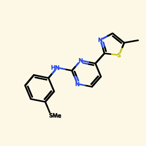 CSc1cccc(Nc2nccc(-c3ncc(C)s3)n2)c1